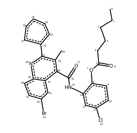 CCCCCC(=O)Oc1ccc(Cl)cc1NC(=O)c1c(C)c(-c2ccccc2)nc2ccc(Br)cc12